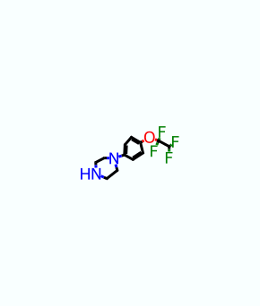 FC(F)C(F)(F)Oc1ccc(N2CCNCC2)cc1